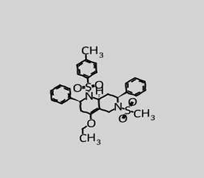 CCOC1=C2CN(S(C)(=O)=O)[C@H](c3ccccc3)C[C@@H]2N(S(=O)(=O)c2ccc(C)cc2)[C@H](c2ccccc2)C1